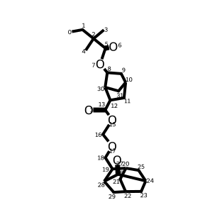 CCC(C)(C)C(=O)OC1CC2CC(C(=O)OCOCC3C4CC5CC(C4)C(=O)C3C5)C1C2